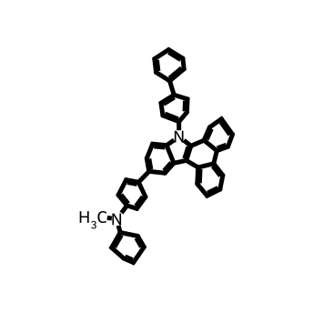 CN(c1ccccc1)c1ccc(-c2ccc3c(c2)c2c4ccccc4c4ccccc4c2n3-c2ccc(-c3ccccc3)cc2)cc1